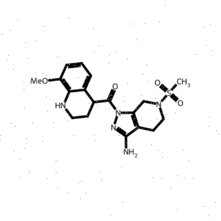 COc1cccc2c1NCCC2C(=O)n1nc(N)c2c1CN(S(C)(=O)=O)CC2